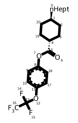 CCCCCCC[C@H]1CC[C@H](C(=O)Oc2ccc(OC(F)(F)C(F)(F)F)cc2)CC1